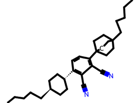 CCCCCC12CCC(c3ccc([C@H]4CC[C@H](CCCCC)CC4)c(C#N)c3C#N)(CC1)CC2